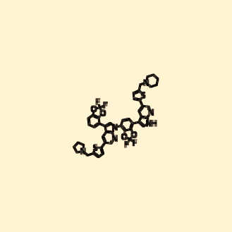 FC1(F)Oc2cccc(-c3cn(-c4ccc(-c5c[nH]c6ncc(-c7ccc(CN8CCCCC8)s7)cc56)c5c4OC(F)(F)O5)c4ncc(-c5ccc(CN6CCCC6)s5)cc34)c2O1